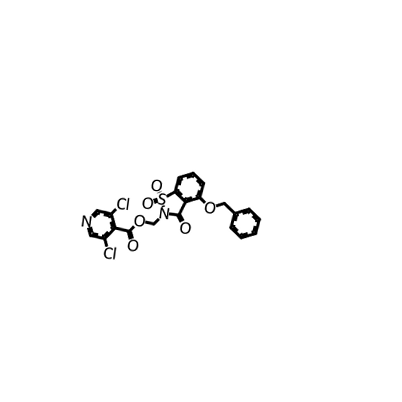 O=C(OCN1C(=O)c2c(OCc3ccccc3)cccc2S1(=O)=O)c1c(Cl)cncc1Cl